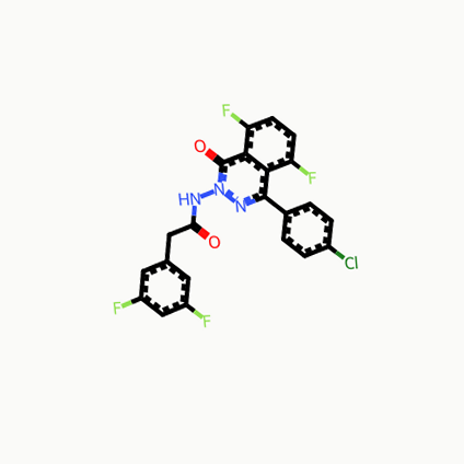 O=C(Cc1cc(F)cc(F)c1)Nn1nc(-c2ccc(Cl)cc2)c2c(F)ccc(F)c2c1=O